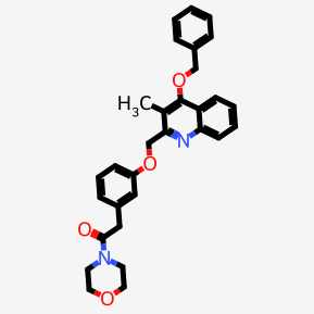 Cc1c(COc2cccc(CC(=O)N3CCOCC3)c2)nc2ccccc2c1OCc1ccccc1